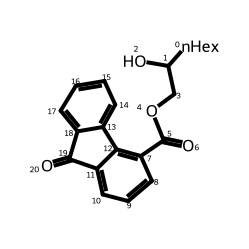 CCCCCCC(O)COC(=O)c1cccc2c1-c1ccccc1C2=O